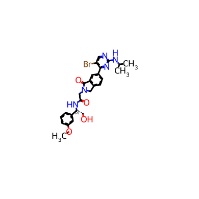 COc1cccc([C@@H](CO)NC(=O)CN2Cc3ccc(-c4nc(NC(C)C)ncc4Br)cc3C2=O)c1